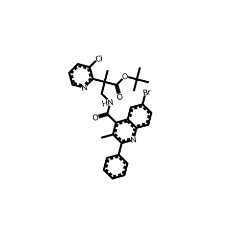 Cc1c(-c2ccccc2)nc2ccc(Br)cc2c1C(=O)NCC(C)(C(=O)OC(C)(C)C)c1ncccc1Cl